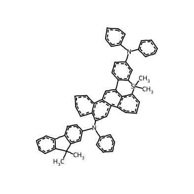 CC1(C)c2ccccc2-c2ccc(N(c3ccccc3)c3cc4c5cccc6c5c(cc4c4ccccc34)-c3ccc(N(c4ccccc4)c4ccccc4)cc3[Si]6(C)C)cc21